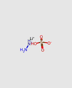 NN.O=S(=O)([O-])O.[Li+]